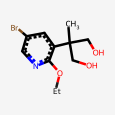 CCOc1ncc(Br)cc1C(C)(CO)CO